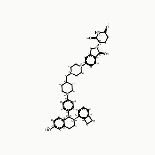 O=C1CC[C@@H](N2Cc3cc(N4CCN(CC5CCN(c6ccc([C@@H]7c8ccc(O)cc8CC[C@@H]7c7cccc8c7CC8)cc6)CC5)CC4)ccc3C2=O)C(=O)N1